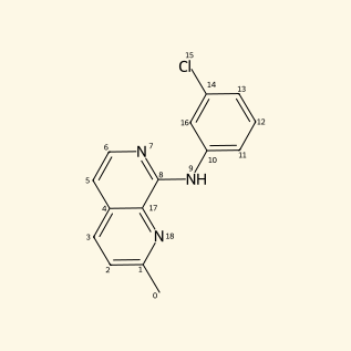 Cc1ccc2ccnc(Nc3cccc(Cl)c3)c2n1